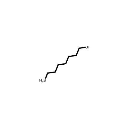 BCCCCCCCBr